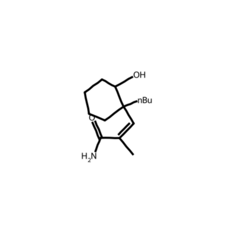 CCCCC1(C=C(C)C(N)=O)CCCCC1O